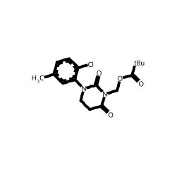 Cc1ccc(Cl)c(N2CCC(=O)N(COC(=O)C(C)(C)C)C2=O)c1